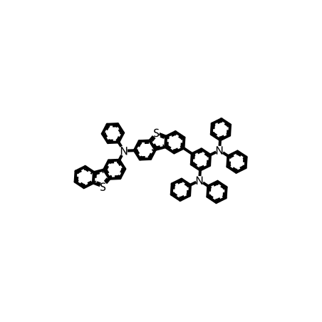 c1ccc(N(c2ccccc2)c2cc(-c3ccc4sc5cc(N(c6ccccc6)c6ccc7sc8ccccc8c7c6)ccc5c4c3)cc(N(c3ccccc3)c3ccccc3)c2)cc1